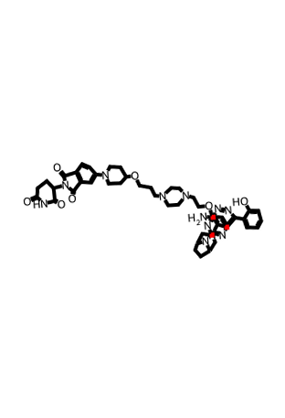 Nc1nnc(-c2ccccc2O)cc1N1CC2CCC(C1)N2c1nccc(OCCN2CCN(CCCOC3CCN(c4ccc5c(c4)C(=O)N(C4CCC(=O)NC4=O)C5=O)CC3)CC2)n1